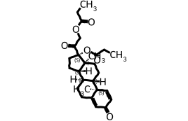 CCC(=O)OCC(=O)[C@]1(OC(=O)CC)CC[C@H]2[C@@H]3CCC4=CC(=O)C=C[C@]4(C)[C@H]3CC[C@@]21C